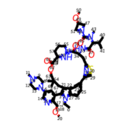 CCn1c(-c2cc(N3CCN(C)CC3)cnc2[C@H](C)OC)c2c3cc(ccc31)-c1csc(n1)C[C@H](NC(=O)C(C(C)C)N(C)C(=O)N1CC(OC)C1)C(=O)N1CCC[C@H](N1)C(=O)OCC(C)(C)C2